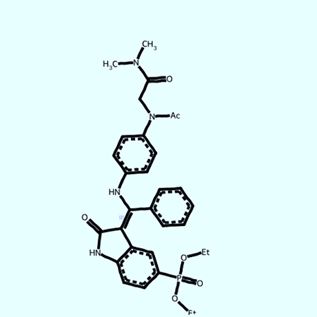 CCOP(=O)(OCC)c1ccc2c(c1)/C(=C(/Nc1ccc(N(CC(=O)N(C)C)C(C)=O)cc1)c1ccccc1)C(=O)N2